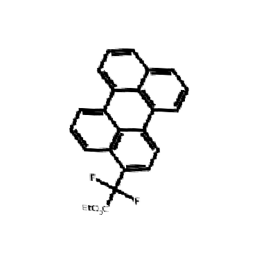 CCOC(=O)C(F)(F)c1ccc2c3cccc4cccc(c5cccc1c52)c43